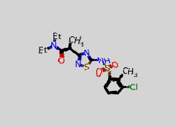 CCN(CC)C(=O)C(C)c1nsc(NS(=O)(=O)c2cccc(Cl)c2C)n1